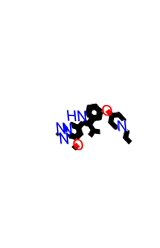 CCCN1CCC(Oc2ccc3[nH]c(-c4cc(OC)c5ncnn5c4)c(C(C)C)c3c2)CC1